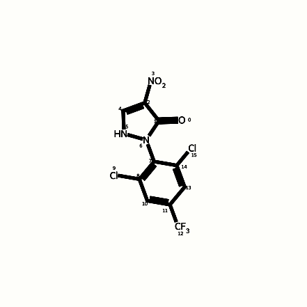 O=c1c([N+](=O)[O-])c[nH]n1-c1c(Cl)cc(C(F)(F)F)cc1Cl